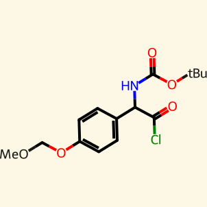 COCOc1ccc(C(NC(=O)OC(C)(C)C)C(=O)Cl)cc1